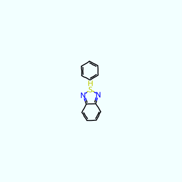 c1ccc([SH]2N=c3ccccc3=N2)cc1